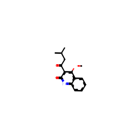 COc1c(C(=O)CC(C)C)c(=O)[nH]c2ccccc12